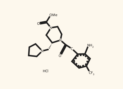 COC(=O)N1CCN(C(=O)Cc2ccc(C(F)(F)F)cc2N)[C@H](CN2CCCC2)C1.Cl